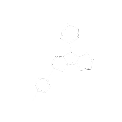 Cc1ccc(-c2ccc3c(c2)c2cccnc2n3-c2ccncc2)cc1